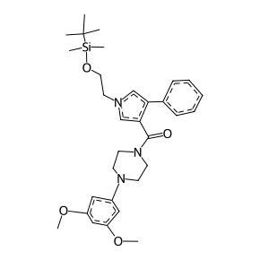 COc1cc(OC)cc(N2CCN(C(=O)c3cn(CCO[Si](C)(C)C(C)(C)C)cc3-c3ccccc3)CC2)c1